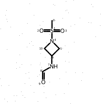 CS(=O)(=O)N1CC(NC=O)C1